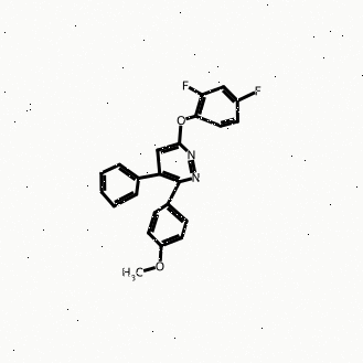 COc1ccc(-c2nnc(Oc3ccc(F)cc3F)cc2-c2ccccc2)cc1